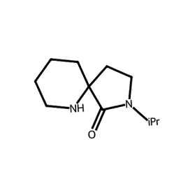 CC(C)N1CCC2(CCCCN2)C1=O